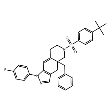 CC(C)(C)c1ccc(S(=O)(=O)N2CCC3=Cc4c(cnn4-c4ccc(F)cc4)CC3(Cc3ccccc3)C2)cc1